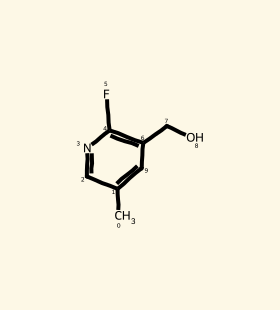 Cc1cnc(F)c(CO)c1